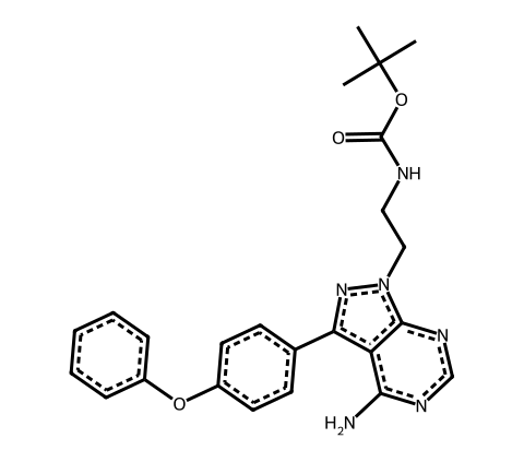 CC(C)(C)OC(=O)NCCn1nc(-c2ccc(Oc3ccccc3)cc2)c2c(N)ncnc21